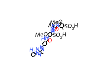 COc1cc(/N=N/C(C(C)=O)C(=O)Nc2cc(C)c(S(=O)(=O)O)cc2OC)c(S(=O)(=O)O)cc1NC(=O)c1ccc(/N=N/c2c(C)nn(-c3ccccc3)c2N)cc1